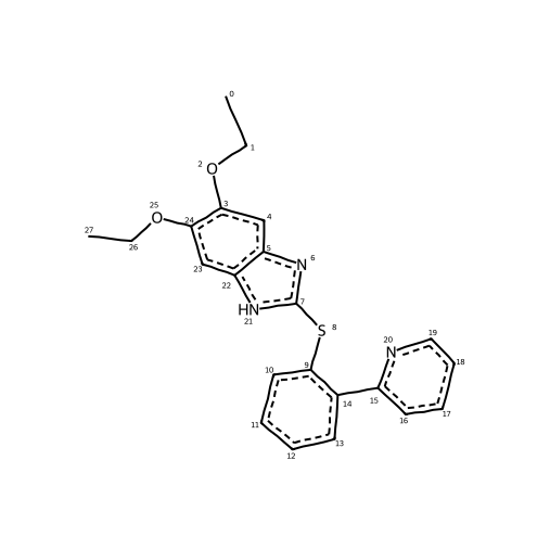 CCOc1cc2nc(Sc3ccccc3-c3ccccn3)[nH]c2cc1OCC